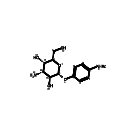 CC(=O)Nc1ccc(O[C@H]2O[C@H](CO)[C@@H](O)[C@@H](N)[C@@H]2O)cc1